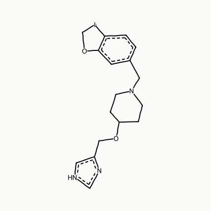 c1nc(COC2CCN(Cc3ccc4c(c3)OC[I]4)CC2)c[nH]1